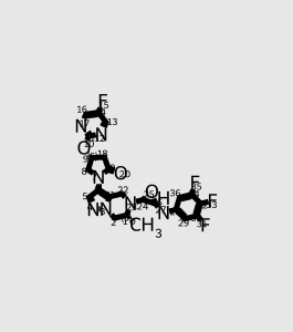 C[C@H]1Cn2ncc(N3C[C@@H](Oc4ncc(F)cn4)CC3=O)c2CN1C1OC1Nc1cc(F)c(F)c(F)c1